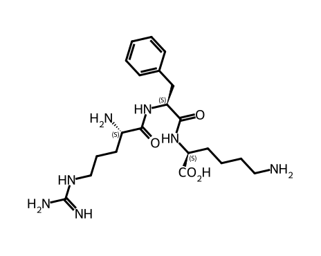 N=C(N)NCCC[C@H](N)C(=O)N[C@@H](Cc1ccccc1)C(=O)N[C@@H](CCCCN)C(=O)O